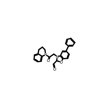 O=CC1Oc2ccc(-c3ccccc3)cc2N1CC(=O)N1CCCc2ccccc21